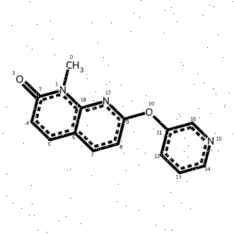 Cn1c(=O)ccc2ccc(Oc3cccnc3)nc21